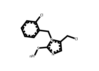 CCCSc1ncc(CCl)n1Cc1ccccc1Cl